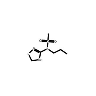 CCCN(C1=NSCN1)S(C)(=O)=O